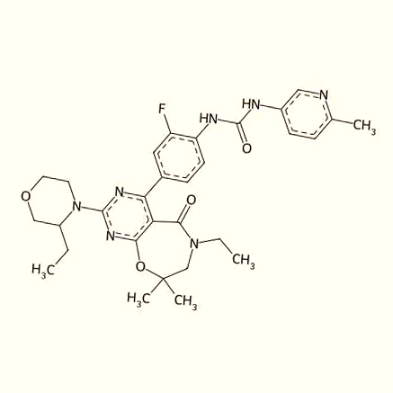 CCC1COCCN1c1nc2c(c(-c3ccc(NC(=O)Nc4ccc(C)nc4)c(F)c3)n1)C(=O)N(CC)CC(C)(C)O2